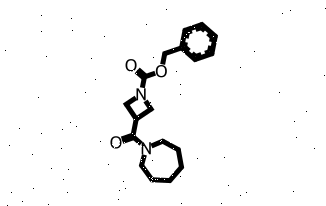 O=C(OCc1ccccc1)N1CC(C(=O)N2CCCCCC2)C1